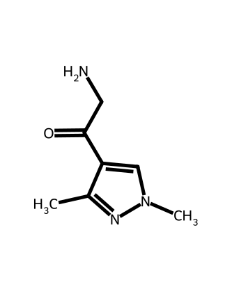 Cc1nn(C)cc1C(=O)CN